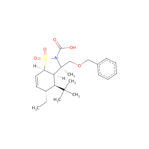 CC[C@@H]1C=C[C@@H]2[C@H]([C@H]1C(C)(C)C)[C@](C)(COCc1ccccc1)N(C(=O)O)S2(=O)=O